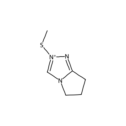 CS[n+]1cn2c(n1)CCC2